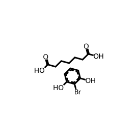 O=C(O)CCCCCC(=O)O.Oc1cccc(O)c1Br